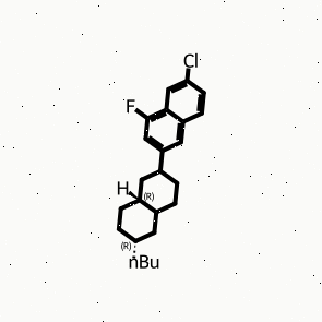 CCCC[C@@H]1CC[C@@H]2CC(c3cc(F)c4cc(Cl)ccc4c3)CCC2C1